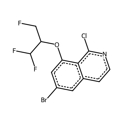 FCC(Oc1cc(Br)cc2ccnc(Cl)c12)C(F)F